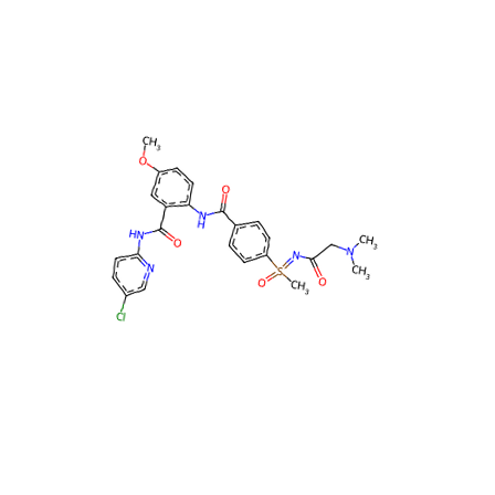 COc1ccc(NC(=O)c2ccc(S(C)(=O)=NC(=O)CN(C)C)cc2)c(C(=O)Nc2ccc(Cl)cn2)c1